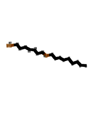 CCCCCCCCCSCCCCCCCS